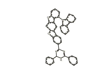 c1ccc(C2=NC(c3ccc4c(c3)oc3cc5oc6cccc(-n7c8ccccc8c8ccccc87)c6c5cc34)=NC(c3ccccc3)N2)cc1